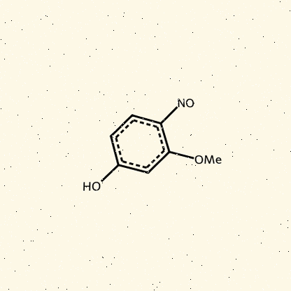 COc1cc(O)ccc1N=O